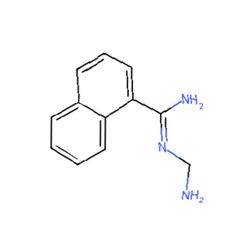 NCN=C(N)c1cccc2ccccc12